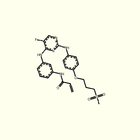 C=CC(=O)Nc1cccc(Nc2nc(Nc3ccc(OCCCS(C)(=O)=O)cc3)ncc2F)c1